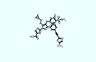 Cc1cnc(C#Cc2cccc(-c3nn(-c4nc(C(=O)O)cs4)c(CCC4CC4)c3Cc3ccc(S(N)(=O)=O)c(F)c3)c2)s1